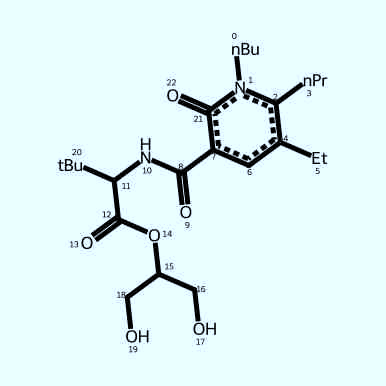 CCCCn1c(CCC)c(CC)cc(C(=O)NC(C(=O)OC(CO)CO)C(C)(C)C)c1=O